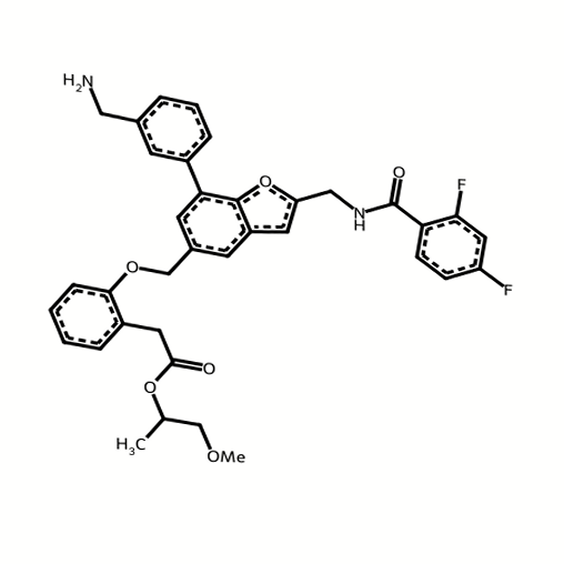 COCC(C)OC(=O)Cc1ccccc1OCc1cc(-c2cccc(CN)c2)c2oc(CNC(=O)c3ccc(F)cc3F)cc2c1